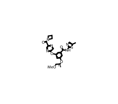 COC[C@H](C)Oc1cc(Oc2cnc(C(=O)N3CCC3)cn2)cc(C(=O)Nc2ncc(C)s2)c1